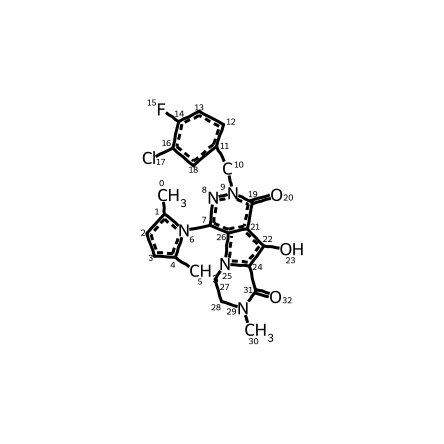 Cc1ccc(C)n1-c1nn(Cc2ccc(F)c(Cl)c2)c(=O)c2c(O)c3n(c12)CCN(C)C3=O